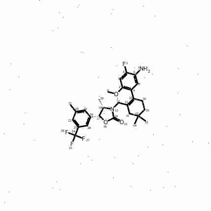 COc1cc(F)c(N)cc1C1=C(CN2C(=O)O[C@H](c3cc(C)cc(C(F)(F)F)c3)[C@@H]2C)CC(C)(C)CC1